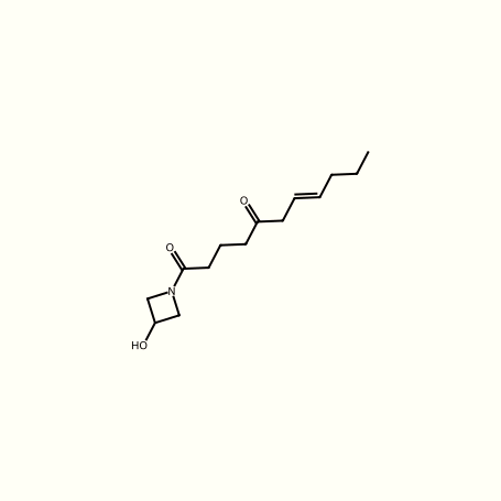 CCC/C=C/CC(=O)CCCC(=O)N1CC(O)C1